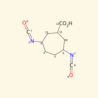 O=C=NC1CCC(N=C=O)CC(C(=O)O)C1